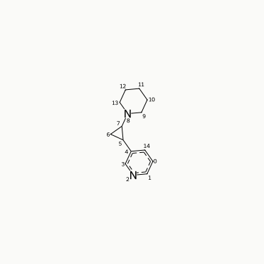 c1cncc(C2CC2N2CCCCC2)c1